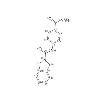 CNC(=O)c1ccc(NC(=O)N2Cc3ccccc3C2)cc1